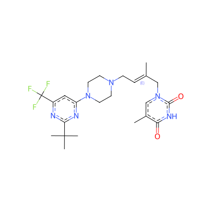 C/C(=C\CN1CCN(c2cc(C(F)(F)F)nc(C(C)(C)C)n2)CC1)Cn1cc(C)c(=O)[nH]c1=O